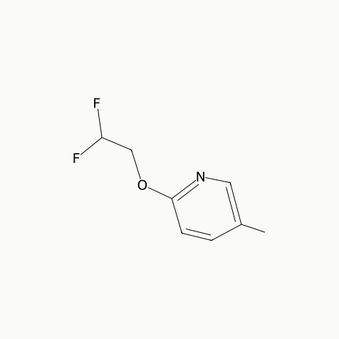 Cc1ccc(OCC(F)F)nc1